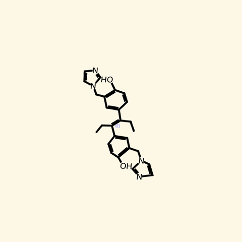 CC/C(=C(/CC)c1ccc(O)c(Cn2ccnc2)c1)c1ccc(O)c(Cn2ccnc2)c1